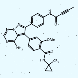 CC#CC(=O)Nc1ccc(-c2nn3ncnc(N)c3c2-c2ccc(C(=O)NC3(C(F)(F)F)CC3)c(OC)c2)cc1